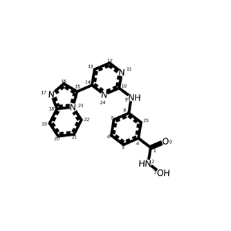 O=C(NO)c1cccc(Nc2nccc(-c3cnc4ccccn34)n2)c1